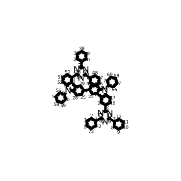 c1ccc(-c2nc(-c3ccccc3)nc(-c3ccc4c(c3)c3cc(-c5ccc6c(c5)c5c(-c7nc(-c8ccccc8)nc(-c8ccccc8)n7)cccc5n6-c5ccccc5)ccc3n4-c3ccccc3)n2)cc1